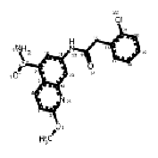 COc1ccc2c([S+](N)[O-])cc(NC(=O)Cc3ccccc3Cl)cc2n1